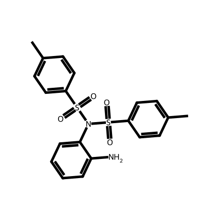 Cc1ccc(S(=O)(=O)N(c2ccccc2N)S(=O)(=O)c2ccc(C)cc2)cc1